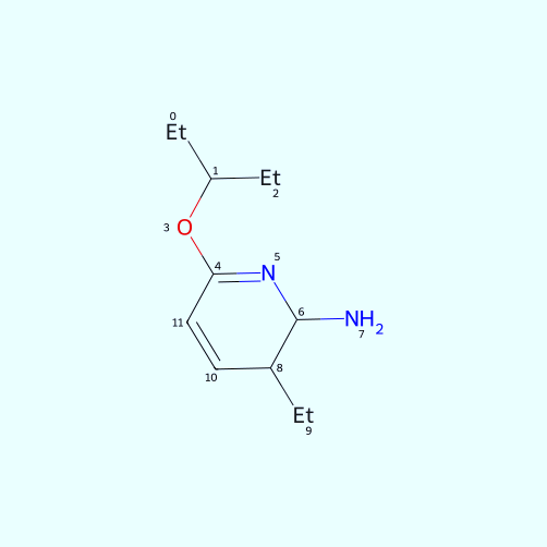 CCC(CC)OC1=NC(N)C(CC)C=C1